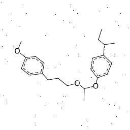 CCC(C)c1ccc(OC(C)OCCCc2ccc(OC)cc2)cc1